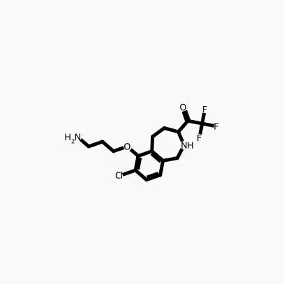 NCCCOc1c(Cl)ccc2c1CCC(C(=O)C(F)(F)F)NC2